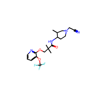 CC1CN(CC#N)CCC1NC(=O)C(C)(C)COc1ncccc1OC(F)(F)F